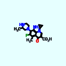 Cc1c(F)c(N2CCNC(C)C2)c(N)c2c1c(=O)c(C(=O)O)cn2C1CC1